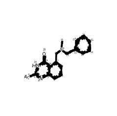 CC(=O)c1nc2cccc(CN(C)Cc3ccccc3)c2c(=O)[nH]1